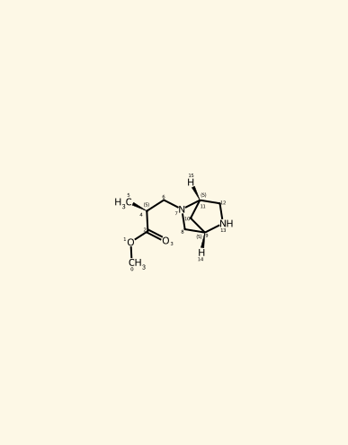 COC(=O)[C@@H](C)CN1C[C@@H]2C[C@H]1CN2